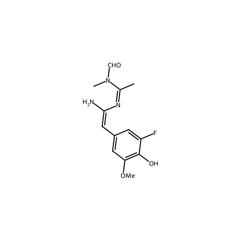 COc1cc(/C=C(N)\N=C(\C)N(C)C=O)cc(F)c1O